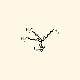 C=CCCCOCC(COCCCC=C)(COCCCC=C)COS(=O)(=O)C(F)(F)F